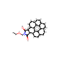 CCOCn1c(=O)c2c3ccc4ccc5ccc6ccc7ccc(c2c1=O)c1c7c6c5c4c31